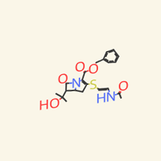 CC(=O)NC=CSC1=C(C(=O)OCc2ccccc2)N2C(=O)C(C(C)(C)O)C2C1